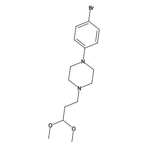 COC(CCN1CCN(c2ccc(Br)cc2)CC1)OC